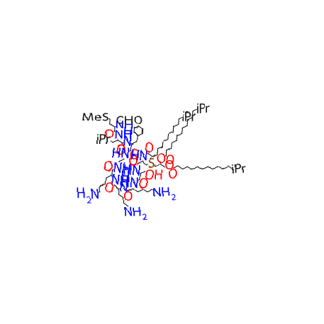 CSCCC(NC=O)C(=O)NC(CC(C)C)C(=O)NC(Cc1ccccc1)C(=O)NCCNC(=O)C(CCCCN)NC(=O)C(CCCCN)NC(=O)C(CCCCN)NC(=O)C(CO)NC(=O)C(CSCC(COC(=O)CCCCCCCCCCCC(C)C)OC(=O)CCCCCCCCCCCC(C)C)NC(=O)CCCCCCCCCCCC(C)C